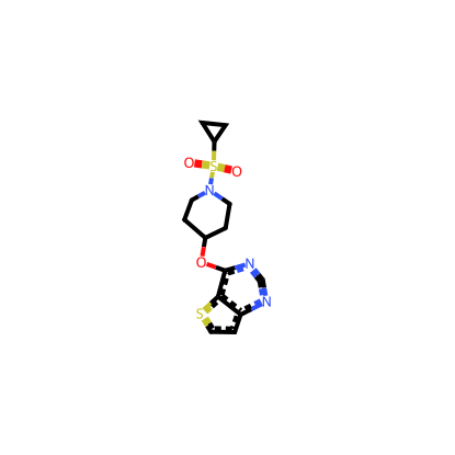 O=S(=O)(C1CC1)N1CCC(Oc2ncnc3ccsc23)CC1